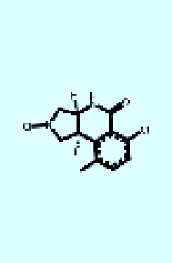 Cc1ccc(Cl)c2c1[C@H]1CN(Cl)C[C@@H]1NC2=O